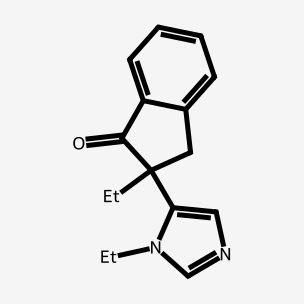 CCn1cncc1C1(CC)Cc2ccccc2C1=O